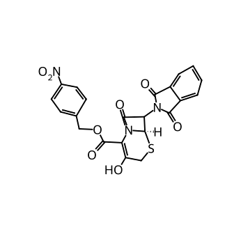 O=C(OCc1ccc([N+](=O)[O-])cc1)C1=C(O)CS[C@@H]2C(N3C(=O)c4ccccc4C3=O)C(=O)N12